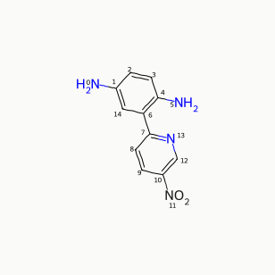 Nc1ccc(N)c(-c2ccc([N+](=O)[O-])cn2)c1